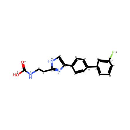 O=C(O)NCCc1nc(-c2ccc(-c3cccc(F)c3)cc2)c[nH]1